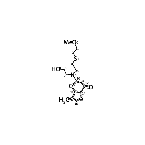 COCCSCCN(CCO)c1cc(=O)c2scc(C)c2o1